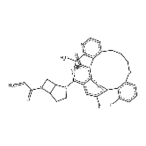 C=CC(=O)N1CC2C1CCN2c1nc(=O)n2c3nc(c(F)cc13)-c1c(F)cccc1OCCCc1ccnc(C(C)C)c1-2